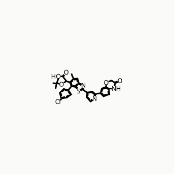 Cc1cc2nc(-c3ccnc(-c4ccc5c(c4)OCC(=O)N5)c3)sc2c(-c2ccc(Cl)cc2)c1C(OC(C)(C)C)C(=O)O